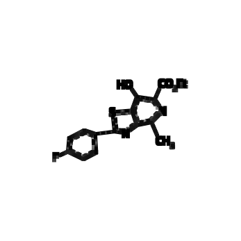 CCOC(=O)c1nc(C)c2nc(-c3ccc(F)cc3)sc2c1O